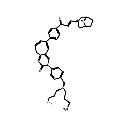 CN1C2CCC1CC(/C=C/C(=O)c1ccc(C3=Cc4cn(-c5ccc(CN(CCCN)CCCN)cc5)c(=O)nc4CC=C3)cc1)C2